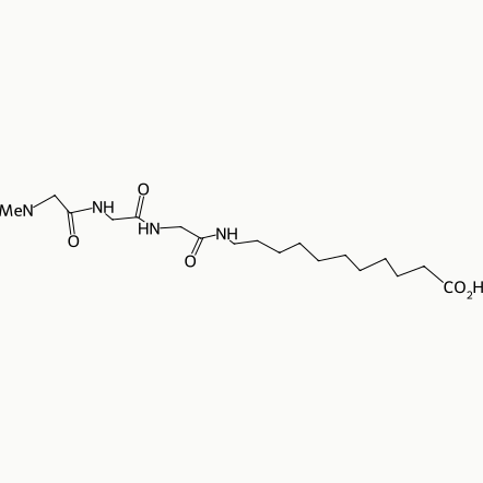 CNCC(=O)NCC(=O)NCC(=O)NCCCCCCCCCCC(=O)O